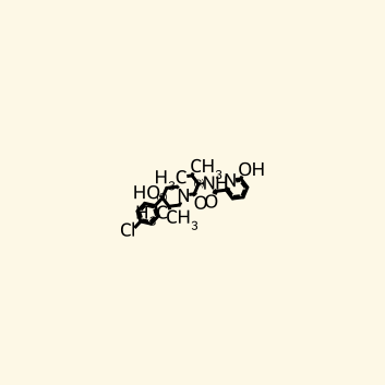 CC(C)[C@@H](NC(=O)c1cccc(O)n1)C(=O)N1CC[C@](O)(c2ccc(Cl)cc2)C(C)(C)C1